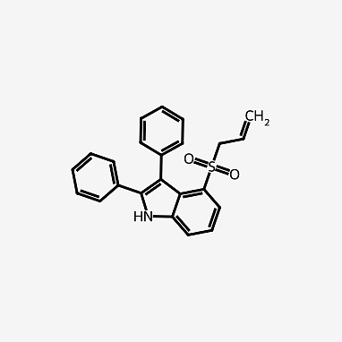 C=CCS(=O)(=O)c1cccc2[nH]c(-c3ccccc3)c(-c3ccccc3)c12